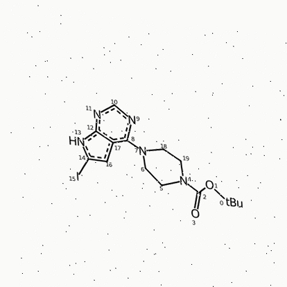 CC(C)(C)OC(=O)N1CCN(c2ncnc3[nH]c(I)cc23)CC1